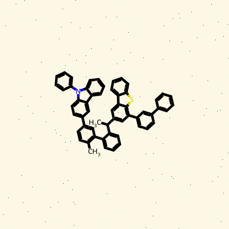 Cc1ccc(-c2ccc3c(c2)c2ccccc2n3-c2ccccc2)cc1-c1ccccc1C(C)c1cc(-c2cccc(-c3ccccc3)c2)c2sc3ccccc3c2c1